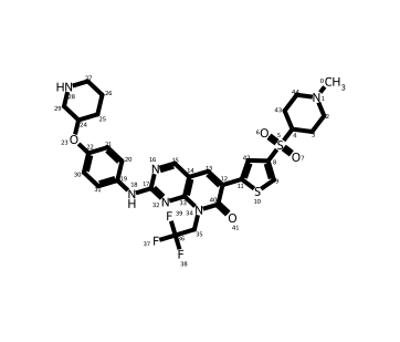 CN1CCC(S(=O)(=O)c2csc(-c3cc4cnc(Nc5ccc(OC6CCCNC6)cc5)nc4n(CC(F)(F)F)c3=O)c2)CC1